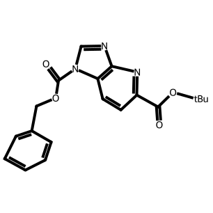 CC(C)(C)OC(=O)c1ccc2c(ncn2C(=O)OCc2ccccc2)n1